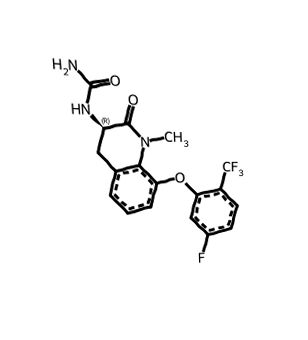 CN1C(=O)[C@H](NC(N)=O)Cc2cccc(Oc3cc(F)ccc3C(F)(F)F)c21